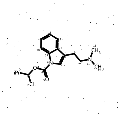 CC(C)C(Cl)OC(=O)n1cc(CCN(C)C)c2ccccc21